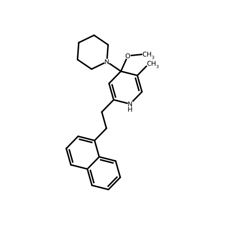 COC1(N2CCCCC2)C=C(CCc2cccc3ccccc23)NC=C1C